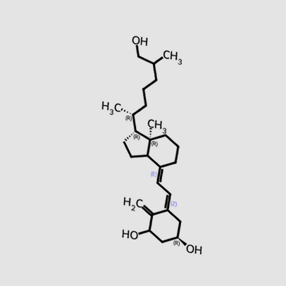 C=C1/C(=C\C=C2/CCC[C@@]3(C)C2CC[C@@H]3[C@H](C)CCCC(C)CO)C[C@@H](O)CC1O